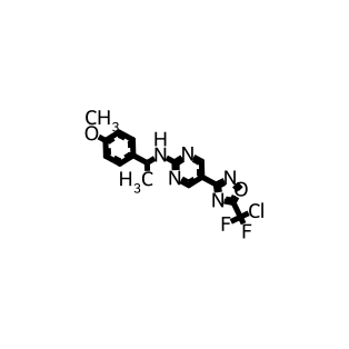 COc1ccc(C(C)Nc2ncc(-c3noc(C(F)(F)Cl)n3)cn2)cc1